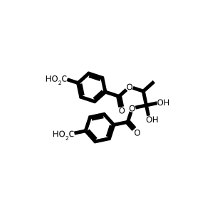 CC(OC(=O)c1ccc(C(=O)O)cc1)C(O)(O)OC(=O)c1ccc(C(=O)O)cc1